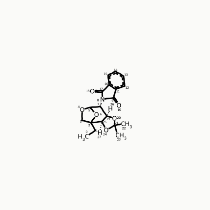 CCC12COC(O1)[C@H](N1C(=O)c3ccccc3C1=O)[C@H]1OC(C)(C)O[C@H]12